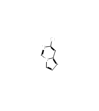 CCc1cc2cccn2cn1